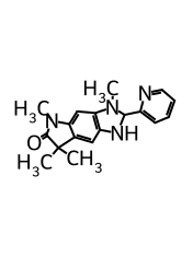 CN1C(=O)C(C)(C)c2cc3c(cc21)N(C)C(c1ccccn1)N3